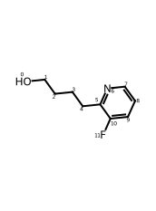 OCCCCc1ncccc1F